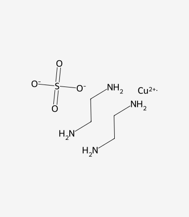 NCCN.NCCN.O=S(=O)([O-])[O-].[Cu+2]